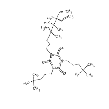 C=CC(C)(C=C)C(C)(C)C(C)(C)CCCn1c(=O)n(CCCC(C)(C)C)c(=O)n(CCCC(C)(C)C)c1=O